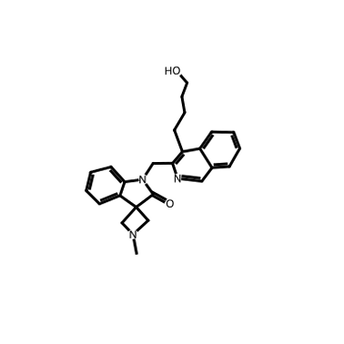 CN1CC2(C1)C(=O)N(Cc1ncc3ccccc3c1CCCCO)c1ccccc12